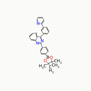 CC1(C)OB(c2ccc(-c3nc(-c4cccc(-c5ccccn5)c4)c4ccccc4n3)cc2)OC1(C)C